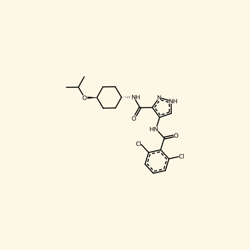 CC(C)O[C@H]1CC[C@H](NC(=O)c2n[nH]cc2NC(=O)c2c(Cl)cccc2Cl)CC1